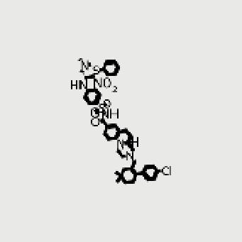 CN(C)C[C@H](CSc1ccccc1)Nc1ccc(S(=O)(=O)NC(=O)c2ccc3c(c2)CC[C@@H]2CN(CC4=C(c5ccc(Cl)cc5)CCC(C)(C)C4)CCN32)cc1[N+](=O)[O-]